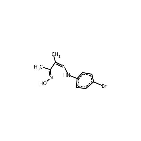 CC(=NO)C(C)=NNc1ccc(Br)cc1